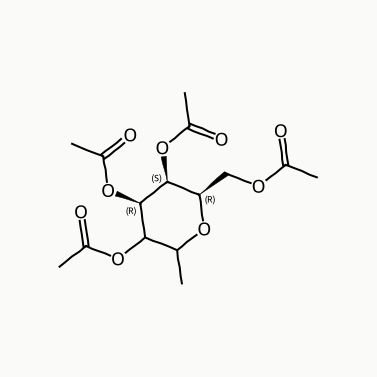 CC(=O)OC[C@H]1OC(C)C(OC(C)=O)[C@@H](OC(C)=O)[C@H]1OC(C)=O